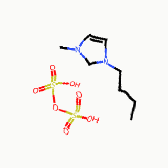 CCCCN1C=CN(C)C1.O=S(=O)(O)OS(=O)(=O)O